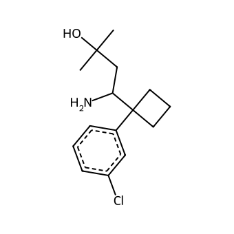 CC(C)(O)CC(N)C1(c2cccc(Cl)c2)CCC1